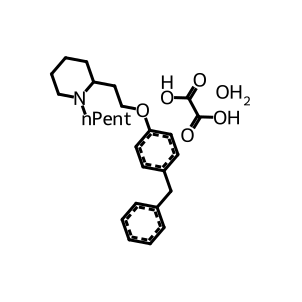 CCCCCN1CCCCC1CCOc1ccc(Cc2ccccc2)cc1.O.O=C(O)C(=O)O